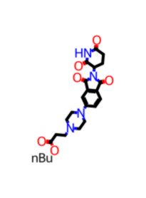 CCCCOC(=O)CCN1CCN(c2ccc3c(c2)C(=O)N(C2CCC(=O)NC2=O)C3=O)CC1